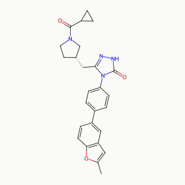 Cc1cc2cc(-c3ccc(-n4c(C[C@@H]5CCN(C(=O)C6CC6)C5)n[nH]c4=O)cc3)ccc2o1